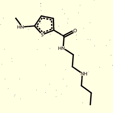 CCCNCCNC(=O)c1ccc(NC)s1